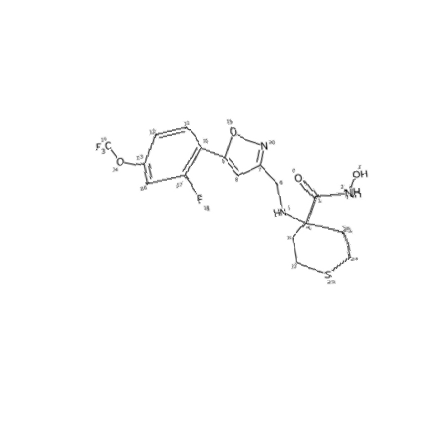 O=C(NO)C1(NCc2cc(-c3ccc(OC(F)(F)F)cc3F)on2)CCSCC1